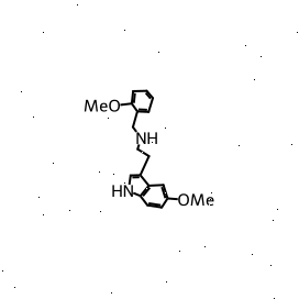 COc1ccc2[nH]cc(CCNCc3ccccc3OC)c2c1